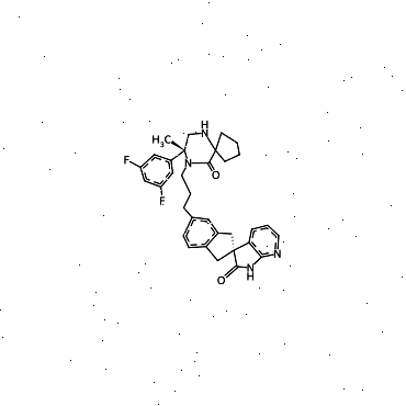 C[C@@]1(c2cc(F)cc(F)c2)CNC2(CCCC2)C(=O)N1CCCc1ccc2c(c1)C[C@@]1(C2)C(=O)Nc2ncccc21